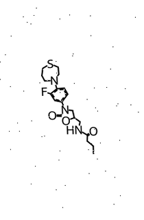 CCCC(=O)NCC1CN(c2ccc(N3CCCSCC3)c(F)c2)C(=O)O1